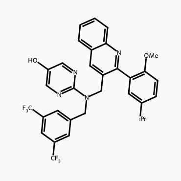 COc1ccc(C(C)C)cc1-c1nc2ccccc2cc1CN(Cc1cc(C(F)(F)F)cc(C(F)(F)F)c1)c1ncc(O)cn1